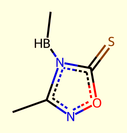 CBn1c(C)noc1=S